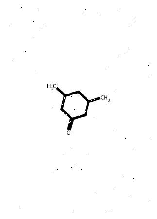 CC1CC(=O)CC(C)C1